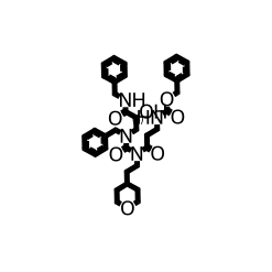 O=C(NCCC(=O)N(CCC1CCOCC1)C(=O)N(Cc1ccccc1)C[C@H](O)C(=O)NCc1ccccc1)OCc1ccccc1